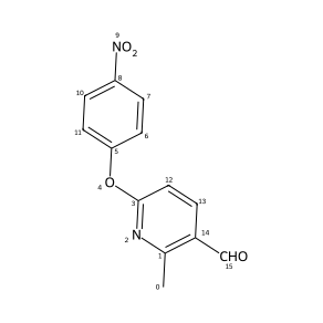 Cc1nc(Oc2ccc([N+](=O)[O-])cc2)ccc1C=O